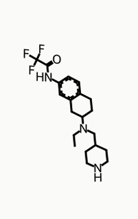 CCN(CC1CCNCC1)C1CCc2ccc(NC(=O)C(F)(F)F)cc2C1